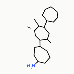 CC1CC(C2CCCCCC2)C(C)[C@@H](C)CC1C1CCCC(N)CC1